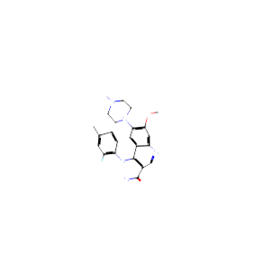 CCOc1cc2ncc(C(N)=O)c(Nc3ccc(C)cc3F)c2cc1N1CCN(C(=O)O)CC1